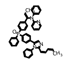 C/C=C\C=C/c1ncc(-c2ccc(P(=O)(c3ccccc3)c3ccc(/C(=C/C)N(c4ccccc4)c4ccccn4)cc3)cc2)n1-c1ccccc1